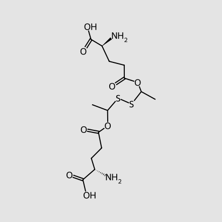 CC(OC(=O)CC[C@H](N)C(=O)O)SSC(C)OC(=O)CC[C@H](N)C(=O)O